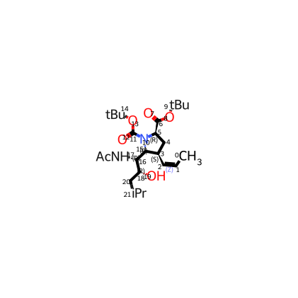 C/C=C\[C@@H]1C[C@H](C(=O)OC(C)(C)C)N(C(=O)OC(C)(C)C)[C@H]1[C@@H](NC(C)=O)[C@H](O)CC(C)C